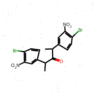 CC(C(=O)C(C)c1ccc(Br)c([N+](=O)[O-])c1)c1ccc(Br)c([N+](=O)[O-])c1